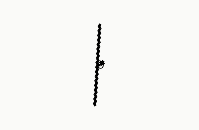 CCCCCCCCCCCCCCCCCCC(CCCCCCCCCCCCCCCCCC)OC(C)(C)C